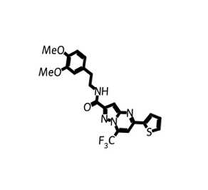 COc1ccc(CCNC(=O)c2cc3nc(-c4cccs4)cc(C(F)(F)F)n3n2)cc1OC